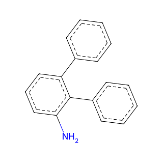 Nc1cccc(-c2ccccc2)c1-c1ccccc1